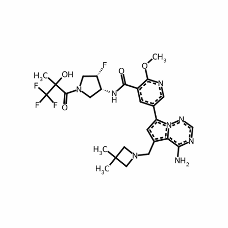 COc1ncc(-c2cc(CN3CC(C)(C)C3)c3c(N)ncnn23)cc1C(=O)N[C@@H]1CN(C(=O)C(C)(O)C(F)(F)F)C[C@@H]1F